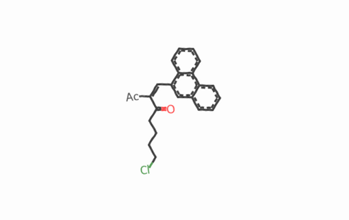 CC(=O)C(=Cc1cc2ccccc2c2ccccc12)C(=O)CCCCCl